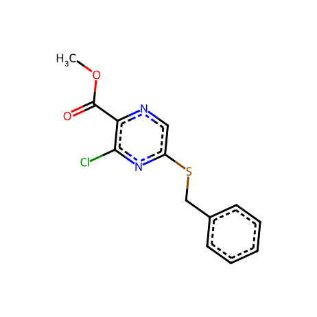 COC(=O)c1ncc(SCc2ccccc2)nc1Cl